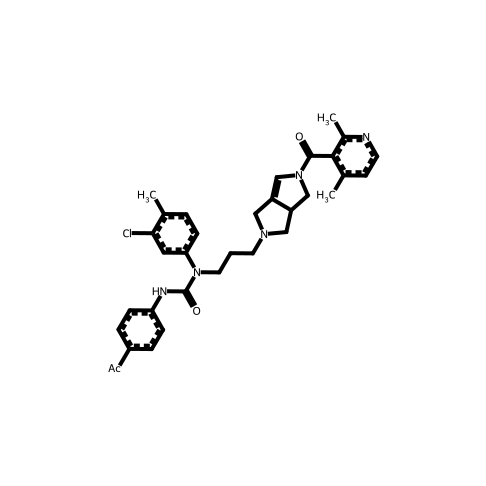 CC(=O)c1ccc(NC(=O)N(CCCN2CC3=CN(C(=O)c4c(C)ccnc4C)CC3C2)c2ccc(C)c(Cl)c2)cc1